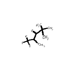 CC(C(F)C(C)(C)C)C(F)(F)F